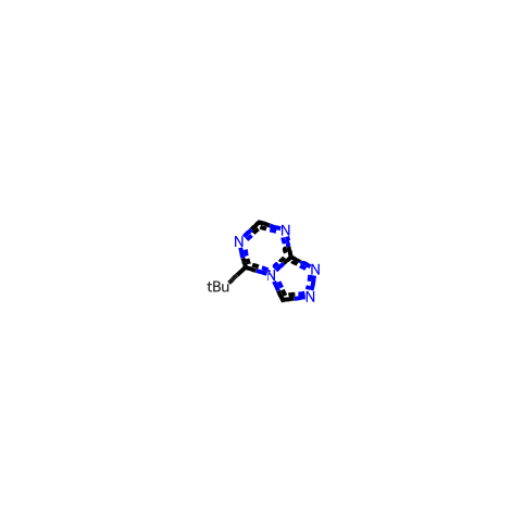 CC(C)(C)c1ncnc2nncn12